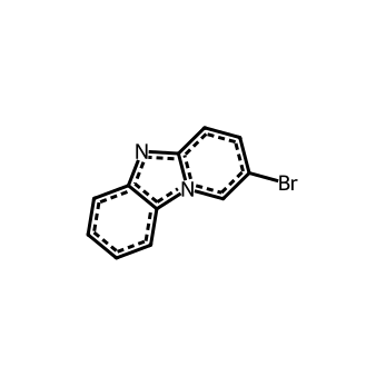 Brc1ccc2nc3ccccc3n2c1